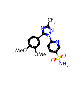 COc1ccc(-c2nc(C(F)(F)F)nn2-c2ccc(S(N)(=O)=O)cn2)cc1OC